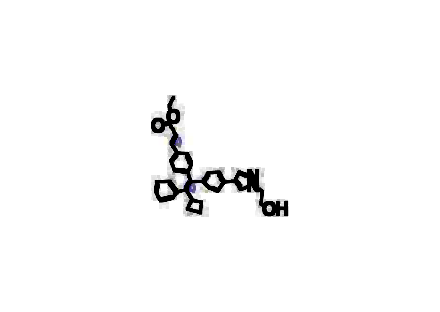 CCOC(=O)/C=C/c1ccc(/C(=C(\c2ccccc2)C2CCC2)c2ccc(-c3cnn(CCO)c3)cc2)cc1